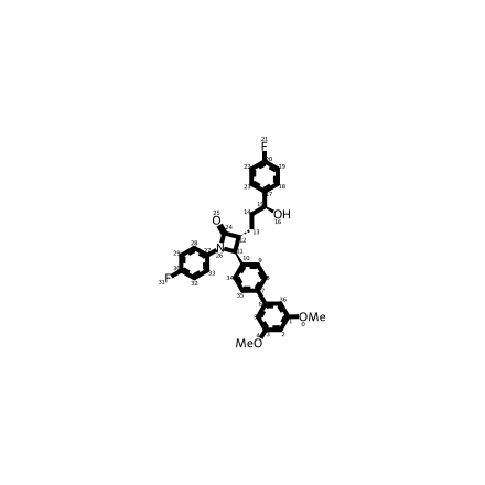 COc1cc(OC)cc(-c2ccc([C@@H]3[C@@H](CC[C@H](O)c4ccc(F)cc4)C(=O)N3c3ccc(F)cc3)cc2)c1